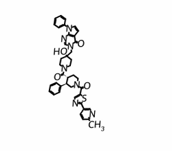 Cc1ccc(-c2ncc(C(=O)N3CC[C@@H](C(=O)N4CCC(O)(Cn5cnc6c(ccn6-c6ccccc6)c5=O)CC4)[C@H](c4ccccc4)C3)s2)cn1